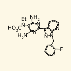 CCN(C(=O)O)c1c(N)nc(-c2nn(Cc3ccccc3F)c3ncccc23)nc1N